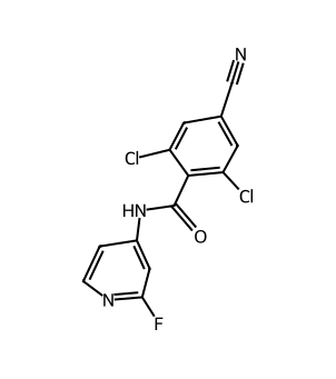 N#Cc1cc(Cl)c(C(=O)Nc2ccnc(F)c2)c(Cl)c1